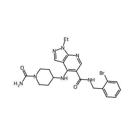 CCn1ncc2c(NC3CCN(C(N)=O)CC3)c(C(=O)NCc3ccccc3Br)cnc21